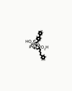 CC(C)CN(CC(CCCCc1ccccc1)C(=O)O)C(=O)N[C@@H](Cc1ccc(-c2ccccc2)cc1)C(=O)O